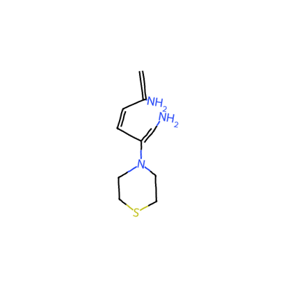 C=C(N)/C=C\C(=C/N)N1CCSCC1